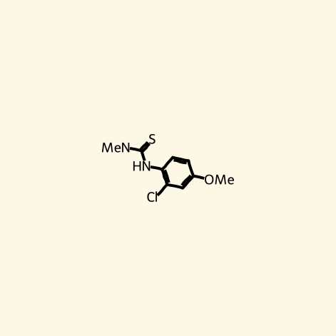 CNC(=S)Nc1ccc(OC)cc1Cl